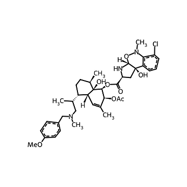 COc1ccc(CN(C)CC(C)[C@@H]2CC[C@@H](C)[C@@]3(O)[C@@H]2C=C(C)[C@H](OC(C)=O)[C@@H]3OC(=O)[C@@H]2C[C@@]3(O)c4cccc(Cl)c4N(C)O[C@H]3N2)cc1